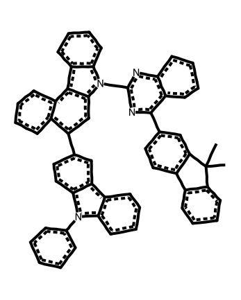 CC1(C)c2ccccc2-c2ccc(-c3nc(-n4c5ccccc5c5c6ccccc6c(-c6ccc7c(c6)c6ccccc6n7-c6ccccc6)cc54)nc4ccccc34)cc21